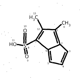 CC1=C2C=CC=C2C(S(=O)(=O)O)=C1C